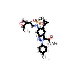 CNC(=O)c1c2cc(C3CC3)c(N(CCC3COC3C)S(C)(=O)=O)cc2nn1-c1ccc(C)cc1